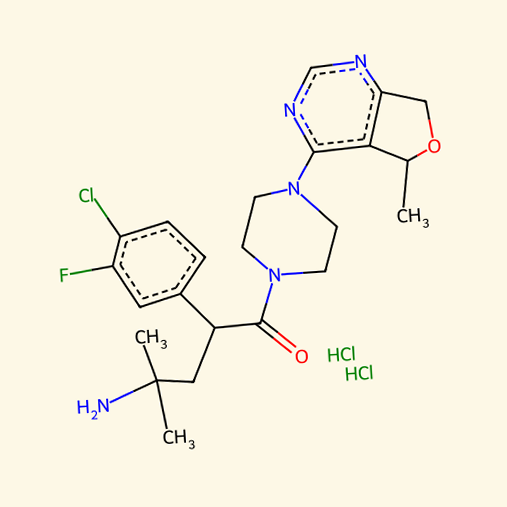 CC1OCc2ncnc(N3CCN(C(=O)C(CC(C)(C)N)c4ccc(Cl)c(F)c4)CC3)c21.Cl.Cl